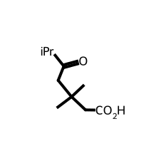 CC(C)C(=O)CC(C)(C)CC(=O)O